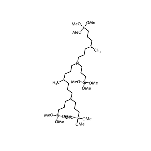 CO[Si](CCCN(C)CCCN(CCCN(C)CCCN(CCC[Si](OC)(OC)OC)CCC[Si](OC)(OC)OC)CCC[Si](OC)(OC)OC)(OC)OC